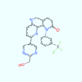 O=c1ccc2cnc3ccc(-c4cnc(CO)nc4)nc3c2n1-c1cccc(C(F)(F)F)c1